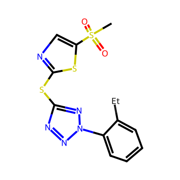 CCc1ccccc1-n1nnc(Sc2ncc(S(C)(=O)=O)s2)n1